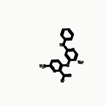 Cc1ccc(Oc2ccnc(Nc3ccccc3)c2)c(C(=O)[O-])n1.[Na+]